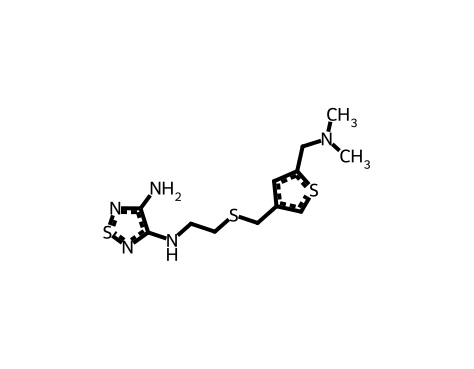 CN(C)Cc1cc(CSCCNc2nsnc2N)cs1